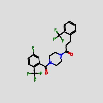 O=C(CCc1ccccc1C(F)(F)F)N1CCN(C(=O)c2cc(F)ccc2C(F)(F)F)CC1